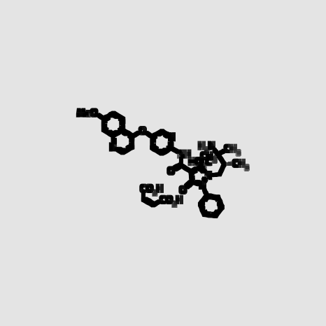 COc1ccc2c(Oc3ccc(NC(=O)c4c(C)n(C[C@@H](C)[C@](C)(N)C(=O)O)n(-c5ccccc5)c4=O)nc3)ccnc2c1.O=C(O)/C=C\C(=O)O